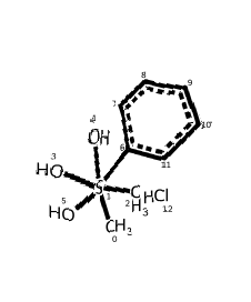 CS(C)(O)(O)(O)c1ccccc1.Cl